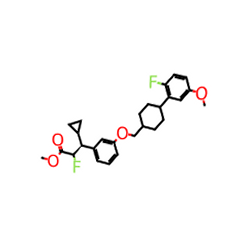 COC(=O)C(F)[C@H](c1cccc(OCC2CCC(c3cc(OC)ccc3F)CC2)c1)C1CC1